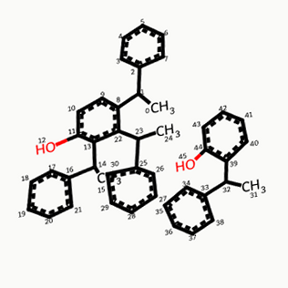 CC(c1ccccc1)c1ccc(O)c(C(C)c2ccccc2)c1C(C)c1ccccc1.CC(c1ccccc1)c1ccccc1O